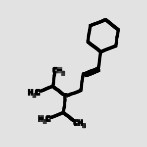 CC(C)P(CC=CC1CCCCC1)C(C)C